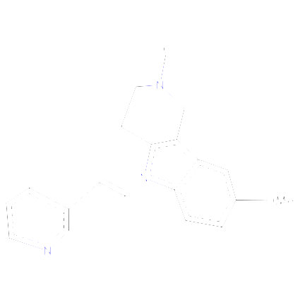 COc1ccc2c(c1)c1c(n2/C=C/c2cccnc2)CCN(C)C1